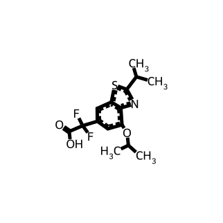 CC(C)Oc1cc(C(F)(F)C(=O)O)cc2sc(C(C)C)nc12